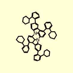 C1=C(c2ccccc2C2CCCCC2)C2c3cc(-c4ccccc4C4CCCCC4)ccc3N3c4ccc(-c5ccccc5C5CCCCC5)c5c6cc(-c7ccccc7C7CCCCC7)ccc6n(c45)C(=C1)C23